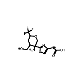 NC1(c2nc(NC(=O)O)cs2)COC(C(F)(F)F)CC1CO